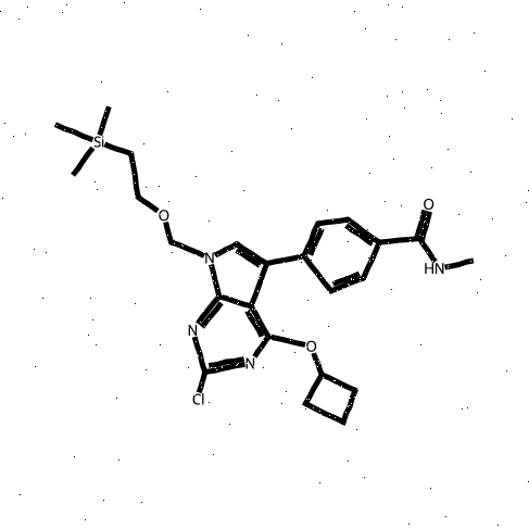 CNC(=O)c1ccc(-c2cn(COCC[Si](C)(C)C)c3nc(Cl)nc(OC4CCC4)c23)cc1